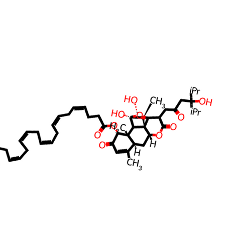 CC/C=C\C/C=C\C/C=C\C/C=C\C/C=C\C/C=C\CCC(=O)O[C@@H]1C(=O)C=C(C)[C@@H]2C[C@H]3OC(=O)C(CC(=O)CC(O)(C(C)C)C(C)C)C4[C@@H](C)[C@@H](O)[C@]5(O)OC[C@@]43C5[C@@]12C